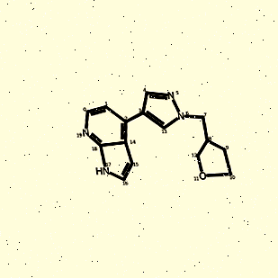 c1cc(-c2cnn(CC3CCOC3)c2)c2cc[nH]c2n1